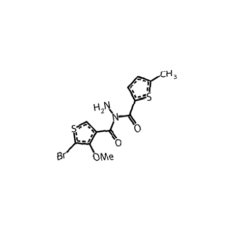 COc1c(C(=O)N(N)C(=O)c2ccc(C)s2)csc1Br